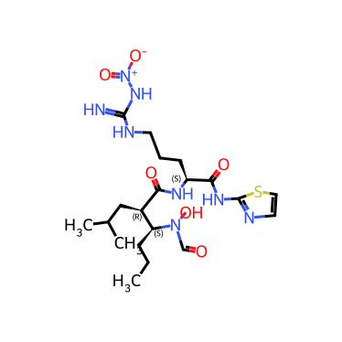 CCC[C@@H]([C@@H](CC(C)C)C(=O)N[C@@H](CCCNC(=N)N[N+](=O)[O-])C(=O)Nc1nccs1)N(O)C=O